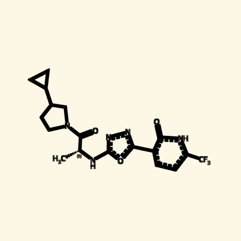 C[C@@H](Nc1nnc(-c2ccc(C(F)(F)F)[nH]c2=O)o1)C(=O)N1CCC(C2CC2)C1